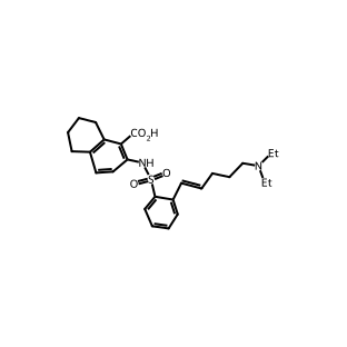 CCN(CC)CCCC=Cc1ccccc1S(=O)(=O)Nc1ccc2c(c1C(=O)O)CCCC2